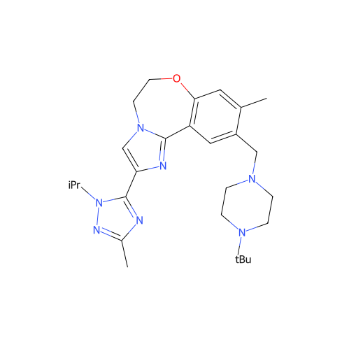 Cc1nc(-c2cn3c(n2)-c2cc(CN4CCN(C(C)(C)C)CC4)c(C)cc2OCC3)n(C(C)C)n1